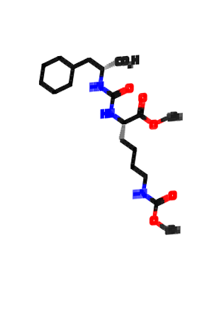 CC(C)(C)OC(=O)NCCCC[C@H](NC(=O)N[C@H](CC1CCCCC1)C(=O)O)C(=O)OC(C)(C)C